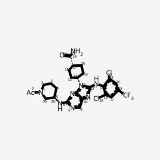 CC(=O)N1CCC[C@@H](Nc2ncc3nc(Nc4c(Cl)cc(C(F)(F)F)cc4Cl)n([C@H]4CC[C@@H](C(N)=O)CC4)c3n2)C1